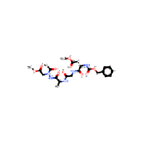 CC(=O)C(=O)N(CC(=O)OC(C)(C)C)NC(=O)C(NC(=O)CNC(=O)[C@H](CC(=O)OC(C)(C)C)NC(=O)OCc1ccccc1)C(C)C